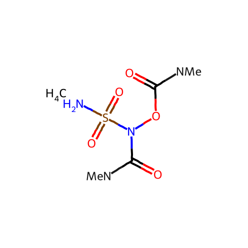 C.CNC(=O)ON(C(=O)NC)S(N)(=O)=O